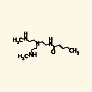 CC/C=C/C(=O)NCCN(CCNC)CCNC